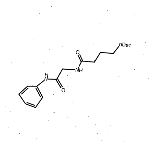 CCCCCCCCCCCCCC(=O)NCC(=O)Nc1ccccc1